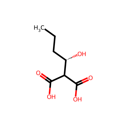 CCC[C@H](O)C(C(=O)O)C(=O)O